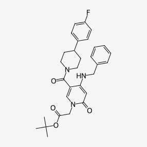 CC(C)(C)OC(=O)Cn1cc(C(=O)N2CCC(c3ccc(F)cc3)CC2)c(NCc2ccccc2)cc1=O